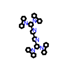 c1ccc2c(c1)c1ccccc1n2-c1cc(-c2ccc(-c3ccc(-c4cc(-n5c6ccccc6c6ccccc65)cc(-n5c6ccccc6c6ccccc65)c4)nc3)cn2)cc(-n2c3ccccc3c3ccccc32)c1